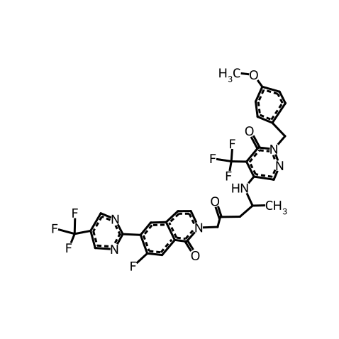 COc1ccc(Cn2ncc(NC(C)CC(=O)Cn3ccc4cc(-c5ncc(C(F)(F)F)cn5)c(F)cc4c3=O)c(C(F)(F)F)c2=O)cc1